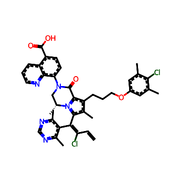 C=C/C(Cl)=C(/c1c(C)ncnc1C)c1c(C)c(CCCOc2cc(C)c(Cl)c(C)c2)c2n1[C@H](C)CN(c1ccc(C(=O)O)c3cccnc13)C2=O